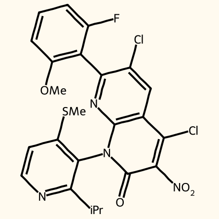 COc1cccc(F)c1-c1nc2c(cc1Cl)c(Cl)c([N+](=O)[O-])c(=O)n2-c1c(SC)ccnc1C(C)C